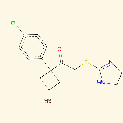 Br.O=C(CSC1=NCCN1)C1(c2ccc(Cl)cc2)CCC1